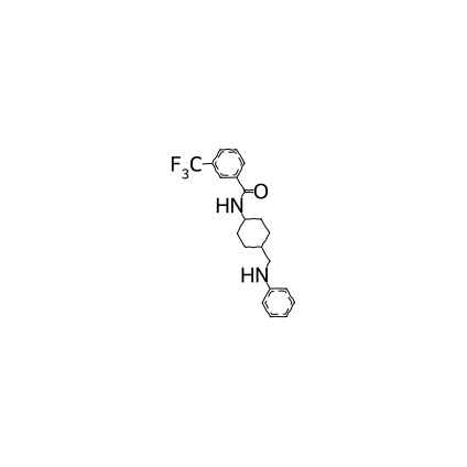 O=C(NC1CCC(CNc2ccccc2)CC1)c1cccc(C(F)(F)F)c1